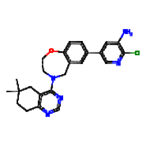 CC1(C)CCc2ncnc(N3CCOc4ccc(-c5cnc(Cl)c(N)c5)cc4C3)c2C1